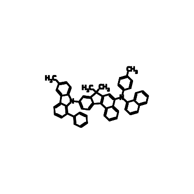 Cc1ccc(N(c2cccc3ccccc23)c2cc3c(c4ccccc24)-c2ccc(-n4c5ccc(C)cc5c5cccc(-c6ccccc6)c54)cc2C3(C)C)cc1